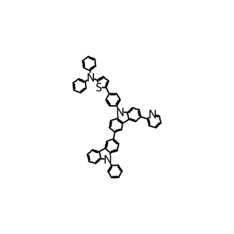 c1ccc(N(c2ccccc2)c2ccc(-c3ccc(-n4c5ccc(-c6ccc7c(c6)c6ccccc6n7-c6ccccc6)cc5c5cc(-c6ccccn6)ccc54)cc3)s2)cc1